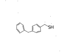 SCc1ccc(Cc2ccccc2)cc1